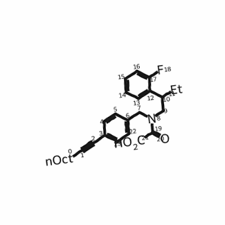 CCCCCCCCC#Cc1ccc(CN(CC(CC)c2ccccc2F)C(=O)C(=O)O)cc1